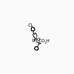 O=C(O)C1(CS(=O)(=O)N2CCN(c3ccc(Cl)cc3)CC2)CC1c1ccccc1